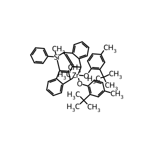 CC1=C2c3ccccc3[CH]1[Zr]([O]c1ccc(C)cc1C(C)(C)C)([O]c1ccc(C)cc1C(C)(C)C)[CH]1C(C)=C(c3ccccc31)[Si]2(C)c1ccccc1